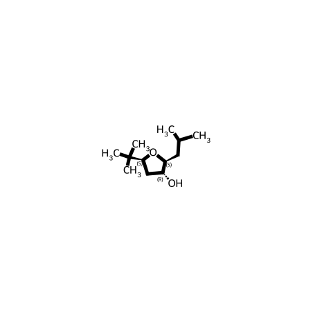 CC(C)C[C@@H]1O[C@H](C(C)(C)C)C[C@H]1O